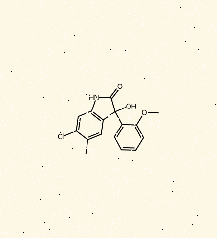 COc1ccccc1C1(O)C(=O)Nc2cc(Cl)c(C)cc21